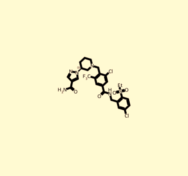 CCS(=O)(=O)c1ccc(Cl)cc1CNC(=O)c1cc(Cl)c(CN2CCC[C@H](n3cc(C(N)=O)cn3)C2)c(C(F)(F)F)c1